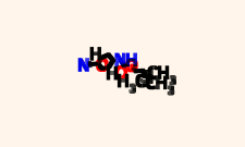 C[Si](C)(C)CCOC(=O)N[C@H]1C[C@H]2O[C@@H]1CC2C#N